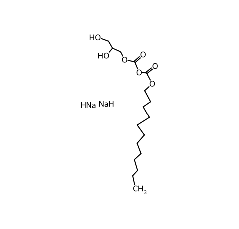 CCCCCCCCCCCCOC(=O)OC(=O)OCC(O)CO.[NaH].[NaH]